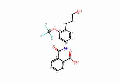 O=C(O)c1ccccc1C(=O)Nc1ccc(CCCO)c(OC(F)(F)F)c1